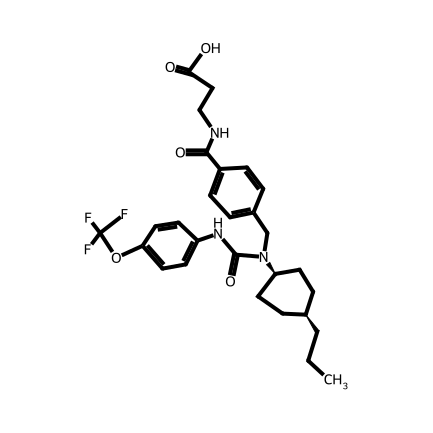 CCC[C@H]1CC[C@@H](N(Cc2ccc(C(=O)NCCC(=O)O)cc2)C(=O)Nc2ccc(OC(F)(F)F)cc2)CC1